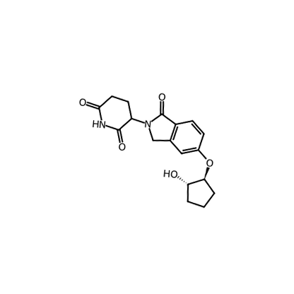 O=C1CCC(N2Cc3cc(O[C@H]4CCC[C@@H]4O)ccc3C2=O)C(=O)N1